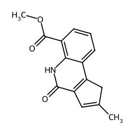 COC(=O)c1cccc2c3c(c(=O)[nH]c12)C=C(C)C3